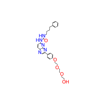 O=C(NCCCCc1ccccc1)Nc1ccc2ncc(-c3ccc(OCCOCCOCCO)cc3)nc2n1